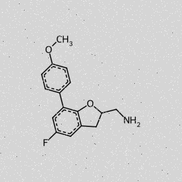 COc1ccc(-c2cc(F)cc3c2OC(CN)C3)cc1